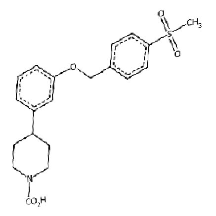 CS(=O)(=O)c1ccc(COc2cccc(C3CCN(C(=O)O)CC3)c2)cc1